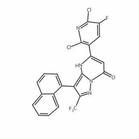 O=c1cc(-c2cc(F)c(Cl)nc2Cl)[nH]c2c(-c3cccc4ccccc34)c(C(F)(F)F)nn12